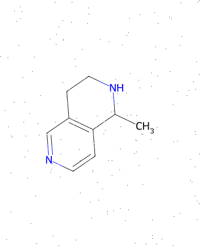 CC1NCCc2cnccc21